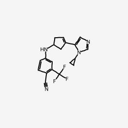 N#Cc1ccc(NC2CC=C(c3cncn3C3CC3)C2)cc1C(F)(F)F